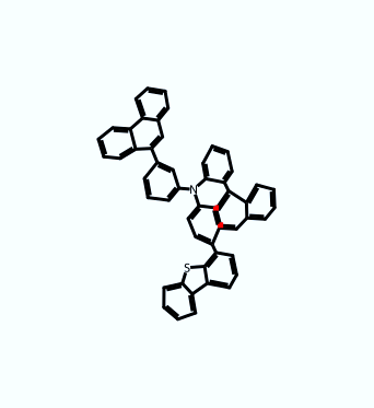 c1cc(-c2cc3ccccc3c3ccccc23)cc(N(c2ccc(-c3cccc4c3sc3ccccc34)cc2)c2ccccc2-c2cccc3ccccc23)c1